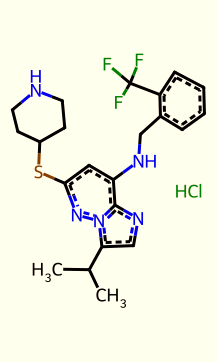 CC(C)c1cnc2c(NCc3ccccc3C(F)(F)F)cc(SC3CCNCC3)nn12.Cl